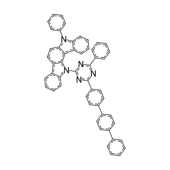 c1ccc(-c2ccc(-c3ccc(-c4nc(-c5ccccc5)nc(-n5c6ccccc6c6ccc7c(c8ccccc8n7-c7ccccc7)c65)n4)cc3)cc2)cc1